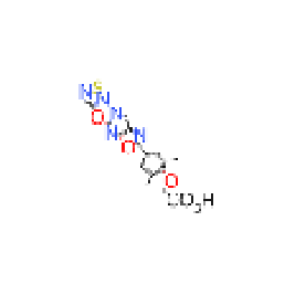 Cc1cc(-c2nc3cnc(Oc4cnsn4)nc3o2)cc(C)c1OCC(=O)O